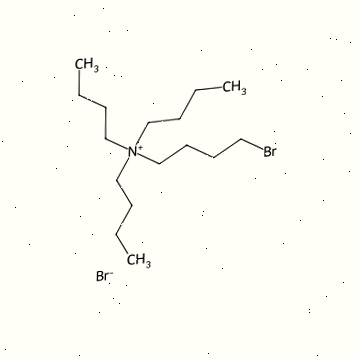 CCCC[N+](CCCC)(CCCC)CCCCBr.[Br-]